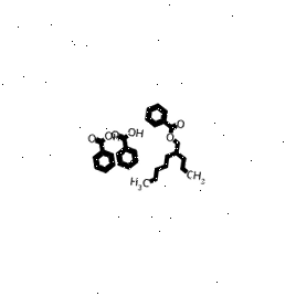 CCCCCC(CCC)COC(=O)c1ccccc1.O=C(O)c1ccccc1.O=C(O)c1ccccc1